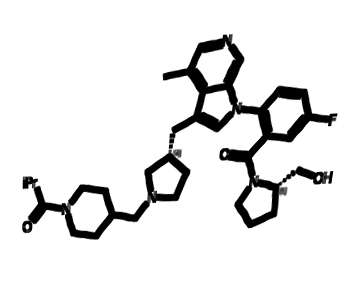 Cc1cncc2c1c(C[C@@H]1CCN(CC3CCN(C(=O)C(C)C)CC3)C1)cn2-c1ccc(F)cc1C(=O)N1CCC[C@H]1CO